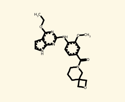 CCOc1nc(Nc2ccc(C(=O)N3CCCC4(COC4)C3)cc2OC)nc2[nH]ccc12